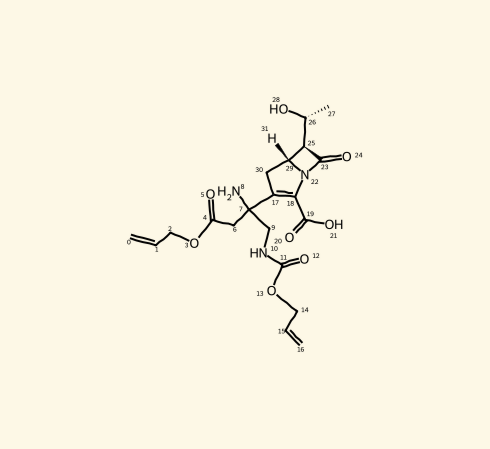 C=CCOC(=O)CC(N)(CNC(=O)OCC=C)C1=C(C(=O)O)N2C(=O)[C@H]([C@@H](C)O)[C@H]2C1